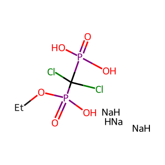 CCOP(=O)(O)C(Cl)(Cl)P(=O)(O)O.[NaH].[NaH].[NaH]